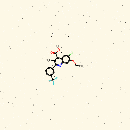 CCOc1cc2nc(-c3cccc(C(F)(F)F)c3)c(C)c(C(=O)OC)c2cc1Cl